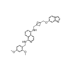 COc1ccc(CNc2nccc3c(NCC45CC(COc6ccn7ccnc7c6)(C4)C5)cccc23)c(OC)c1